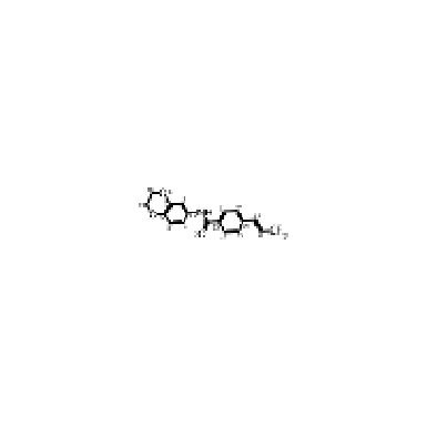 O=C(Nc1ccc2c(c1)OCCO2)c1ccc(C=CC(F)(F)F)cc1